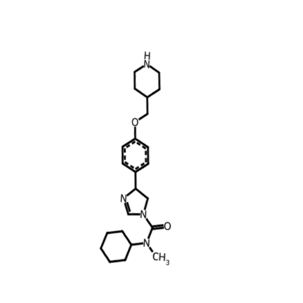 CN(C(=O)N1C=NC(c2ccc(OCC3CCNCC3)cc2)C1)C1CCCCC1